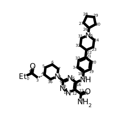 CCC(=O)C[C@@H]1CCCN(c2nnc(C(N)=O)c(Nc3ccc(C4CCN(C5CCCC5)CC4)cc3)n2)C1